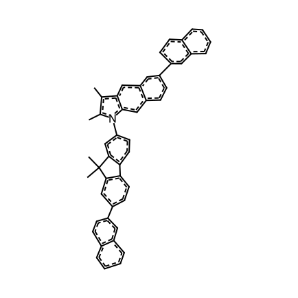 Cc1c(C)n(-c2ccc3c(c2)C(C)(C)c2cc(-c4ccc5ccccc5c4)ccc2-3)c2cc3ccc(-c4ccc5ccccc5c4)cc3cc12